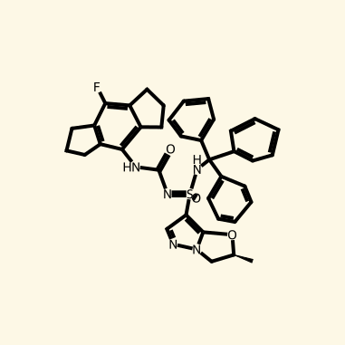 C[C@H]1Cn2ncc(S(=O)(=NC(=O)Nc3c4c(c(F)c5c3CCC5)CCC4)NC(c3ccccc3)(c3ccccc3)c3ccccc3)c2O1